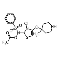 CC1(OC2=CSC(N(OC(=O)C(F)(F)F)S(=O)(=O)c3ccccc3)N2Cl)CCNCC1